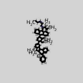 C=CC/C=C\C=C(\c1c2ccccc2c(-c2ccc(C3=CC=C4C(C3)c3c(c5oc6ccccc6c5c5ccccc35)C4(C)C)c(C=C)c2C=C)c2ccccc12)C(C)C=C